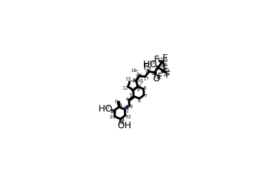 C=C1/C(=C\C=C2CCC[C@@]3(C)C2CC[C@@H]3[C@H](C)CC(F)C(=O)C(O)(C(F)(F)F)C(F)(F)F)C[C@@H](O)C[C@H]1O